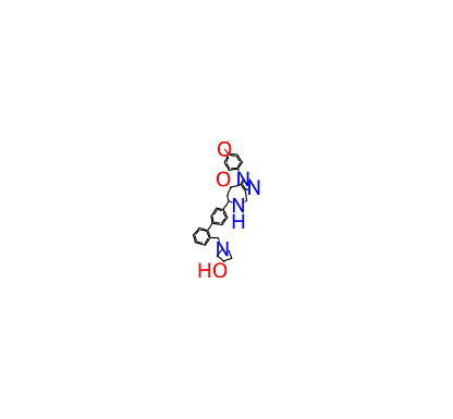 COc1ccc(-n2cnc3c2C(=O)CC(c2ccc(-c4ccccc4CN4CC[C@@H](O)C4)cc2)NC3)cc1